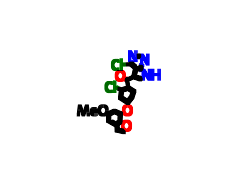 COc1cc(Oc2ccc(C(=O)c3c[nH]c4ncnc(Cl)c34)c(Cl)c2)c2occc2c1